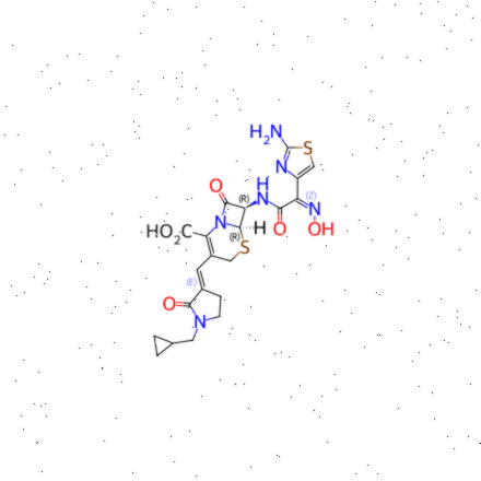 Nc1nc(/C(=N/O)C(=O)N[C@@H]2C(=O)N3C(C(=O)O)=C(/C=C4\CCN(CC5CC5)C4=O)CS[C@H]23)cs1